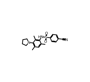 Cc1cc(C)c(N2CCCC2)c(C)c1NS(=O)(=O)c1ccc(C#N)cc1